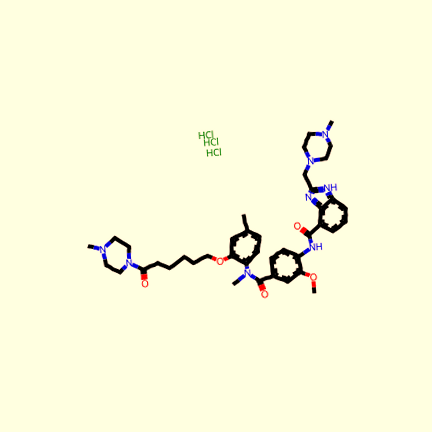 COc1cc(C(=O)N(C)c2ccc(C)cc2OCCCCCC(=O)N2CCN(C)CC2)ccc1NC(=O)c1cccc2[nH]c(CN3CCN(C)CC3)nc12.Cl.Cl.Cl